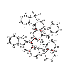 CC1(C)c2ccccc2-c2ccc(-c3ccccc3N(c3cccc(-c4cccc5c4sc4ccccc45)c3)c3ccccc3C3C=CC=C4C=CC=C(C5CCCCC5)C43C)cc21